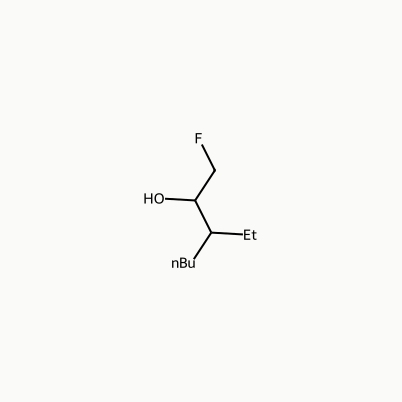 CCCCC(CC)C(O)CF